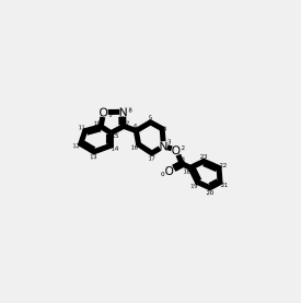 O=C(ON1CCC(c2noc3ccccc23)CC1)c1ccccc1